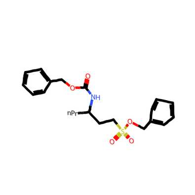 CCCC(CCS(=O)(=O)OCc1ccccc1)NC(=O)OCc1ccccc1